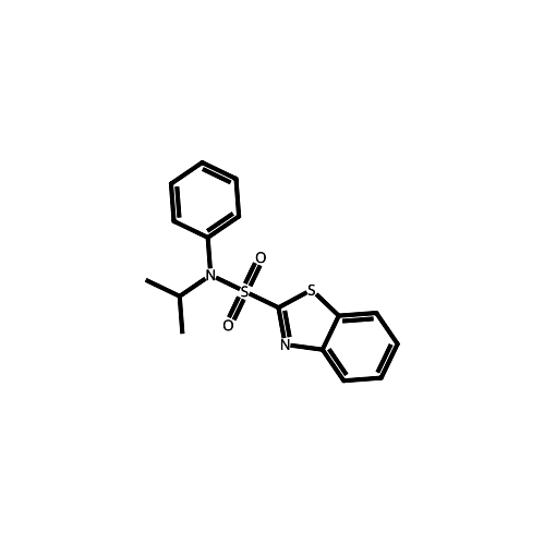 CC(C)N(c1ccccc1)S(=O)(=O)c1nc2ccccc2s1